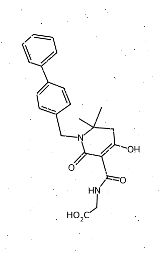 CC1(C)CC(O)=C(C(=O)NCC(=O)O)C(=O)N1Cc1ccc(-c2ccccc2)cc1